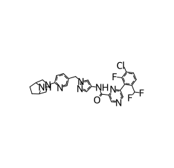 O=C(Nc1cnn(Cc2ccc(N3CC4CCC(C3)N4)nc2)c1)c1cncc(-c2c(C(F)F)ccc(Cl)c2F)n1